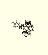 Nc1c(N=Nc2ccc(F)cc2)cc(S(=O)(=O)O)c2ccccc12.[Na]